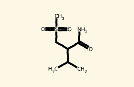 CC(C)C(CS(C)(=O)=O)C(N)=O